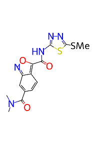 CSc1nnc(NC(=O)c2onc3cc(C(=O)N(C)C)ccc23)s1